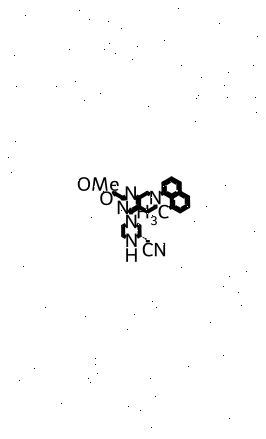 COC(=O)c1nc2c(c(N3CCN[C@@H](CC#N)C3)n1)CCN(c1cccc3cccc(C)c13)C2